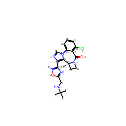 CC(C)(C)NCc1nc(-c2ncn3c2[C@@H]2CCN2C(=O)c2c(Cl)cccc2-3)no1